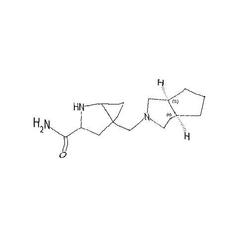 NC(=O)C1CC2(CN3C[C@H]4CCC[C@H]4C3)CC2N1